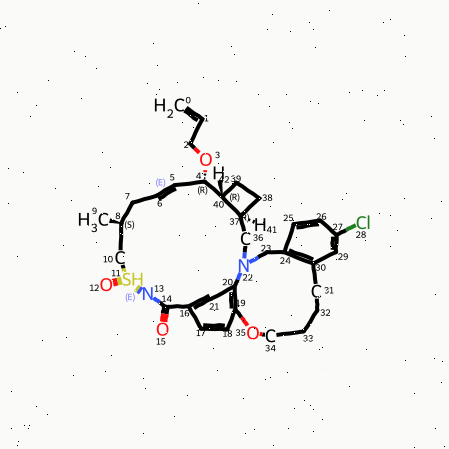 C=CCO[C@H]1/C=C/C[C@H](C)C/[SH](=O)=N\C(=O)c2ccc3c(c2)N(Cc2ccc(Cl)cc2CCCCO3)C[C@@H]2CC[C@H]21